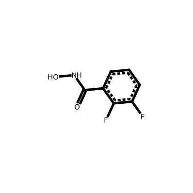 O=C(NO)c1cccc(F)c1F